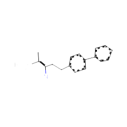 CC(C(=O)O)=C(N)CCc1ccc(-c2ccccc2)cc1